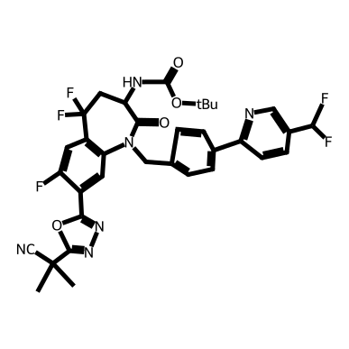 CC(C)(C)OC(=O)NC1CC(F)(F)c2cc(F)c(-c3nnc(C(C)(C)C#N)o3)cc2N(Cc2ccc(-c3ccc(C(F)F)cn3)cc2)C1=O